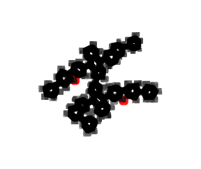 c1ccc(-c2ccc3cc(-c4c5ccccc5c(-c5ccc6c(c5)oc5cc(-c7ccccc7)ccc56)c5cc(-c6ccc7c(-c8ccc9cccc(-c%10ccccc%10)c9c8)c8ccccc8c(-c8ccc9c(c8)oc8cc(-c%10ccccc%10)ccc89)c7c6)ccc45)ccc3c2)cc1